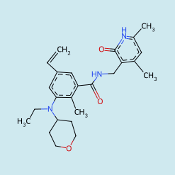 C=Cc1cc(C(=O)NCc2c(C)cc(C)[nH]c2=O)c(C)c(N(CC)C2CCOCC2)c1